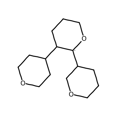 C1COCC([C]2OCCCC2C2CCOCC2)C1